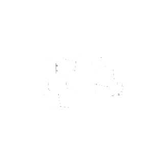 Cc1nc(N[C@H]2C[C@@H](Cn3nccc3C(F)(F)F)C2)cc2c1NC(=O)C(C(C)C)N2C